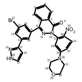 O=c1c2ccccc2c(-c2cc(Br)cc(-c3cc[nH]n3)c2)nn1-c1cc(N2CCOCC2)ccc1[N+](=O)[O-]